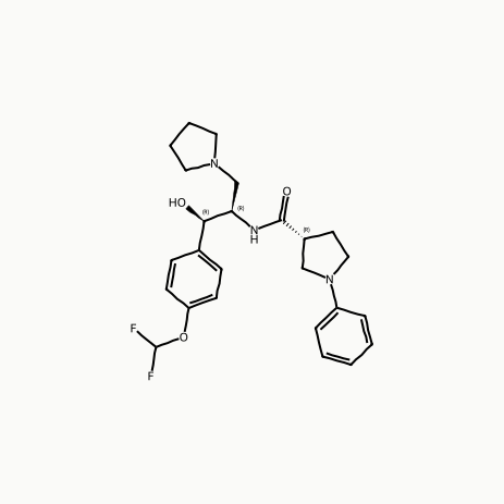 O=C(N[C@H](CN1CCCC1)[C@H](O)c1ccc(OC(F)F)cc1)[C@@H]1CCN(c2ccccc2)C1